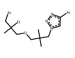 CCC(C)(COCC(C)(C)Cn1cc(C(C)=O)nn1)CC(C)=O